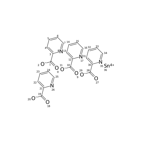 O=C([O-])c1ccccn1.O=C([O-])c1ccccn1.O=C([O-])c1ccccn1.O=C([O-])c1ccccn1.[Sn+4]